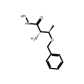 CCCNC(=O)[C@@H](N)[C@@H](C)OCc1ccccc1